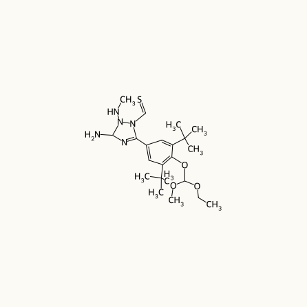 CCOC(OC)Oc1c(C(C)(C)C)cc(C2=NC(N)N(NC)N2C=S)cc1C(C)(C)C